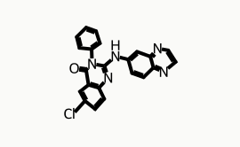 O=c1c2cc(Cl)ccc2nc(Nc2ccc3nccnc3c2)n1-c1ccccc1